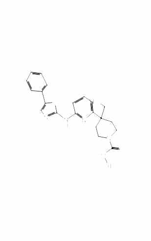 CC(C)(C)OC(=O)N1CCC(CO)(c2cccc(Nc3ncc(-c4ccccc4)s3)n2)CC1